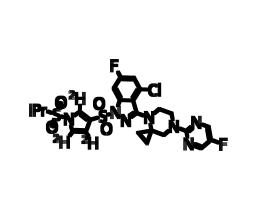 [2H]c1c(S(=O)(=O)n2nc(N3CCN(c4ncc(F)cn4)CC34CC4)c3c(Cl)cc(F)cc32)c([2H])n(S(=O)(=O)C(C)C)c1[2H]